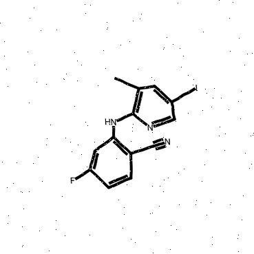 Cc1cc(I)cnc1Nc1cc(F)ccc1C#N